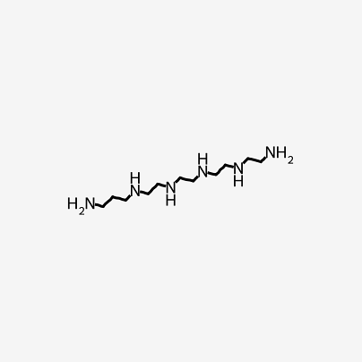 NCCCNCCNCCNCCNCCN